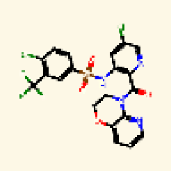 O=C(c1ncc(Cl)cc1NS(=O)(=O)c1ccc(Cl)c(C(F)(F)F)c1)N1CCOc2cccnc21